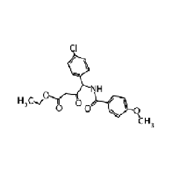 CCOC(=O)CC(=O)C(NC(=O)c1ccc(OC)cc1)c1ccc(Cl)cc1